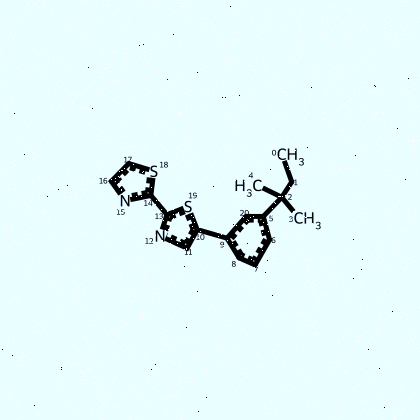 CCC(C)(C)c1cccc(-c2cnc(-c3nccs3)s2)c1